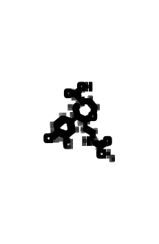 CC(=O)NCC[C@@H]1OCCN(C(=O)O)C[C@H]1c1ccc(Cl)c(Cl)c1